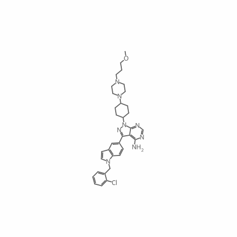 COCCCN1CCN(C2CCC(n3nc(-c4ccc5c(ccn5Cc5ccccc5Cl)c4)c4c(N)ncnc43)CC2)CC1